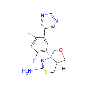 NC1=N[C@@]2(c3cc(-c4cncnc4)c(F)cc3F)COC[C@H]2CS1